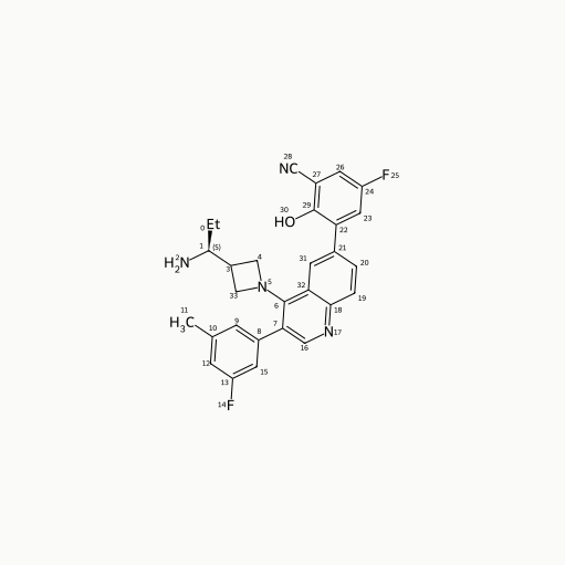 CC[C@H](N)C1CN(c2c(-c3cc(C)cc(F)c3)cnc3ccc(-c4cc(F)cc(C#N)c4O)cc23)C1